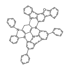 c1ccc(-c2cc3c4c(c2)c2cc(-c5ccccc5)cc5c2n4C2=C4B5c5cc6c7ccccc7oc6c6c7ccccc7n(c56)C4CC4=C2B3c2ccccc2N4c2ccccc2)cc1